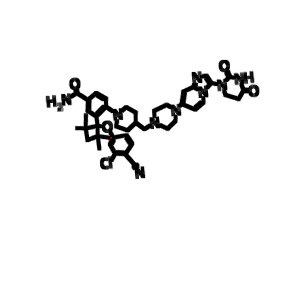 CC1(C)CC(C)(C)C1(Oc1ccc(C#N)c(Cl)c1)c1cc(C(N)=O)ccc1N1CCC(CN2CCN(c3ccn4c(N5CCC(=O)NC5=O)cnc4c3)CC2)CC1